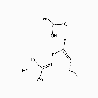 CCC=C(F)F.F.O=C(O)O.O=C(O)O